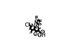 Cc1cc(Cl)nc2c1c(=O)c(C(=O)O)cn2-c1nc(F)cs1